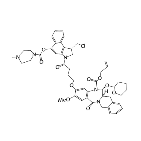 C=CCOC(=O)N1c2cc(OCCCC(=O)N3C[C@@H](CCl)c4c3cc(OC(=O)N3CCN(C)CC3)c3ccccc43)c(OC)cc2C(=O)N2Cc3ccccc3C[C@H]2[C@@H]1OC1CCCCO1